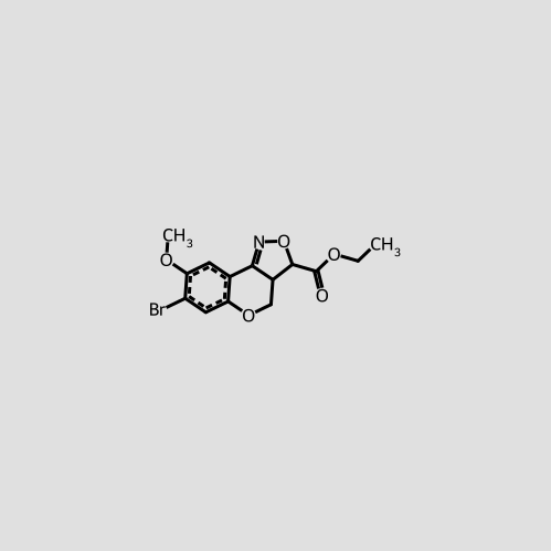 CCOC(=O)C1ON=C2c3cc(OC)c(Br)cc3OCC21